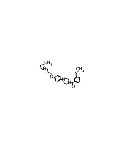 CCSc1cccc(C(=O)N2CCN(c3ccc(OCCCN4CCCC4C)cc3)CC2)c1